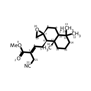 COC(=O)/C(=C/C[C@H]1[C@]2(CC[C@H]3C(C)(C)CCC[C@@]31C)CO2)CC#N